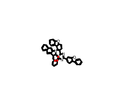 C1=CC2Oc3ccccc3C2C(n2c3ccccc3c3cc4ccccc4cc32)=C1c1nc(-c2ccccc2)nc(-c2ccc3c(c2)oc2ccccc23)n1